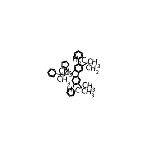 CC(C)(C)c1cc2c(cc1-c1ccccc1)[CH]([Zr](=[CH]C(C)(C)c1ccccc1)[C]1=CC=CC1)c1cc(-c3ccccc3)c(C(C)(C)C)cc1-2